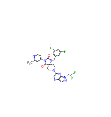 O=C1N(c2ccnc(C(F)(F)F)c2)C(=O)C2(CCN(c3cnc4cnn(CC(F)F)c4n3)CC2)N1Cc1cc(F)cc(F)c1